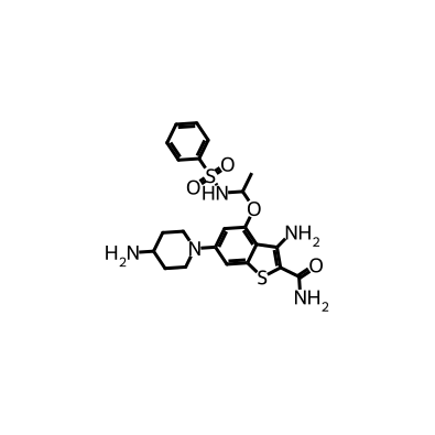 CC(NS(=O)(=O)c1ccccc1)Oc1cc(N2CCC(N)CC2)cc2sc(C(N)=O)c(N)c12